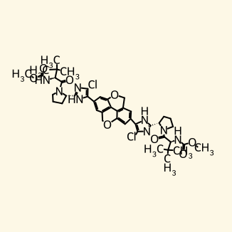 COC(=O)N[C@H](C(=O)N1CCC[C@H]1c1nc(Cl)c(-c2cc3c4c(c2)OCc2cc(-c5[nH]c([C@@H]6CCCN6C(=O)[C@@H](NC(=O)OC)C(C)(C)C)nc5Cl)cc(c2-4)OC3)[nH]1)C(C)(C)C